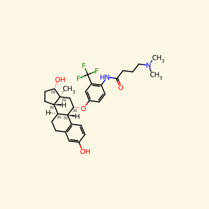 CN(C)CCCC(=O)Nc1ccc(O[C@H]2C[C@]3(C)[C@@H](O)CC[C@H]3[C@@H]3CCc4cc(O)ccc4[C@H]32)cc1C(F)(F)F